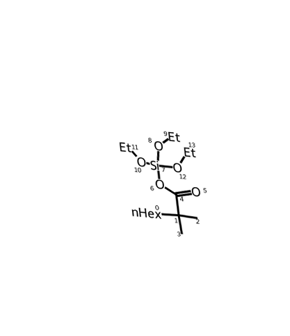 CCCCCCC(C)(C)C(=O)O[Si](OCC)(OCC)OCC